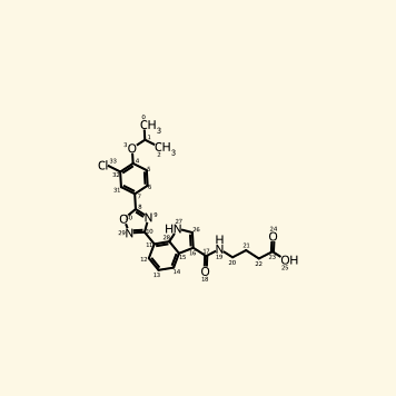 CC(C)Oc1ccc(-c2nc(-c3cccc4c(C(=O)NCCCC(=O)O)c[nH]c34)no2)cc1Cl